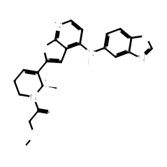 COCC(=O)N1CCC=C(c2cc3c(Nc4ccc5scnc5c4)ccnc3s2)[C@H]1C